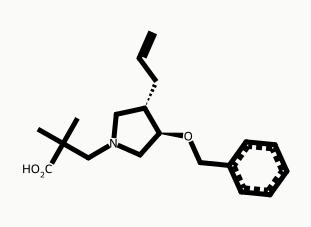 C=CC[C@H]1CN(CC(C)(C)C(=O)O)C[C@@H]1OCc1ccccc1